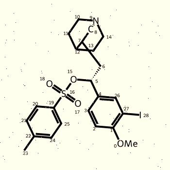 COc1ccc([C@@H](CC2CN3CCC2CC3)OS(=O)(=O)c2ccc(C)cc2)cc1I